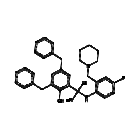 CCCC(CC)(Pc1ccc(F)cc1CN1CCCCC1)c1cc(Cc2ccccc2)cc(Cc2ccccc2)c1O